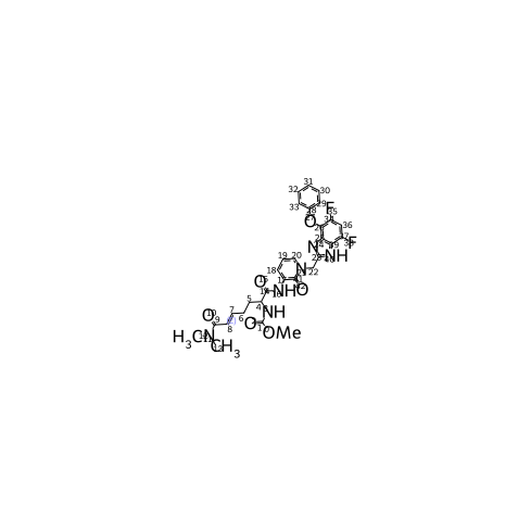 COC(=O)NC(CC/C=C/C(=O)N(C)C)C(=O)Nc1cccn(Cc2nc3c(Oc4ccccc4)c(F)cc(F)c3[nH]2)c1=O